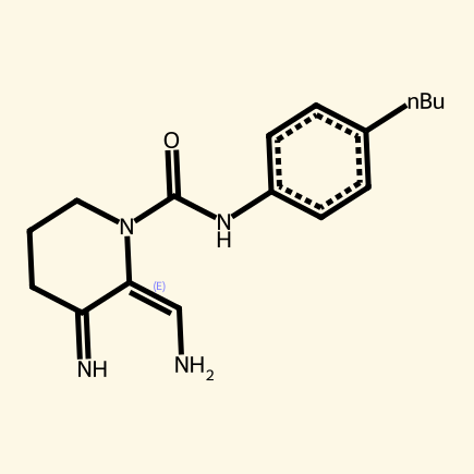 CCCCc1ccc(NC(=O)N2CCCC(=N)/C2=C\N)cc1